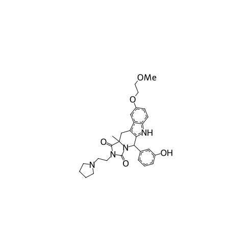 COCCOc1ccc2[nH]c3c(c2c1)CC1(C)C(=O)N(CCN2CCCC2)C(=O)N1C3c1cccc(O)c1